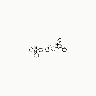 CC1(C)c2cc(-c3ccc(-c4nc5ccccc5n4-c4ccccc4)cc3)ccc2-c2ccc(-c3cc(-c4ccccc4)nc(-c4ccccc4)n3)cc21